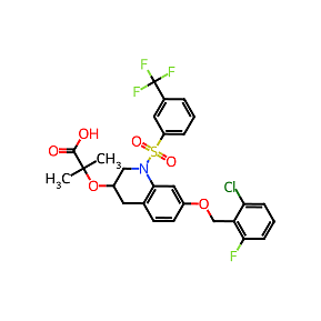 CC(C)(OC1Cc2ccc(OCc3c(F)cccc3Cl)cc2N(S(=O)(=O)c2cccc(C(F)(F)F)c2)C1)C(=O)O